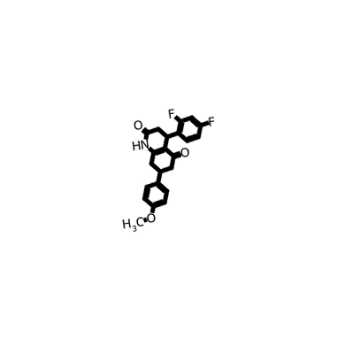 COc1ccc(C2CC(=O)C3=C(C2)NC(=O)CC3c2ccc(F)cc2F)cc1